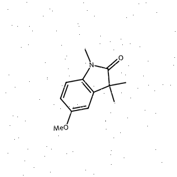 COc1ccc2c(c1)C(C)(C)C(=O)N2C